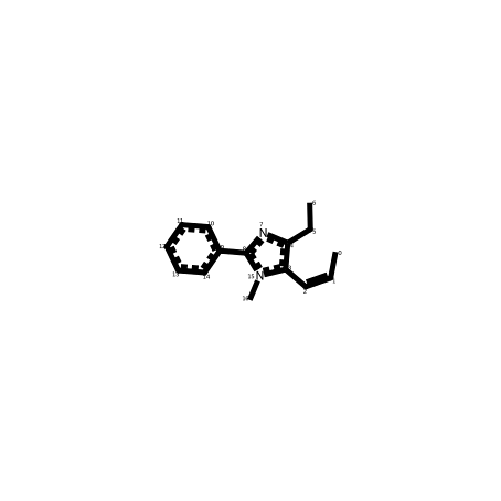 C/C=C\c1c(CC)nc(-c2ccccc2)n1C